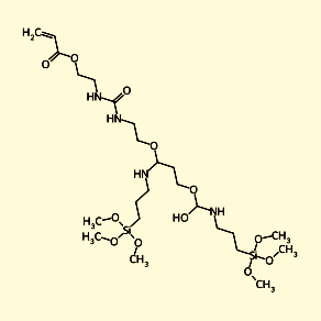 C=CC(=O)OCCNC(=O)NCCOC(CCOC(O)NCCC[Si](OC)(OC)OC)NCCC[Si](OC)(OC)OC